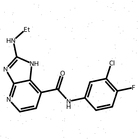 CCNc1nc2nccc(C(=O)Nc3ccc(F)c(Cl)c3)c2[nH]1